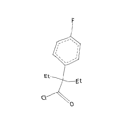 CCC(CC)(C(=O)Cl)c1ccc(F)cc1